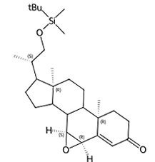 C[C@H](CO[Si](C)(C)C(C)(C)C)C1CCC2C3C(CC[C@@]21C)[C@@]1(C)CCC(=O)C=C1[C@H]1O[C@@H]31